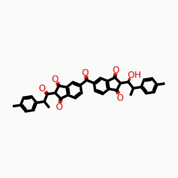 Cc1ccc(C(C)C(=O)C2C(=O)c3ccc(C(=O)c4ccc5c(c4)C(=O)C(C(O)C(C)c4ccc(C)cc4)C5=O)cc3C2=O)cc1